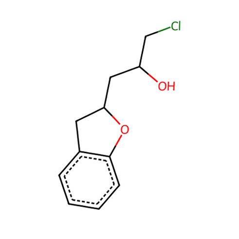 OC(CCl)CC1Cc2ccccc2O1